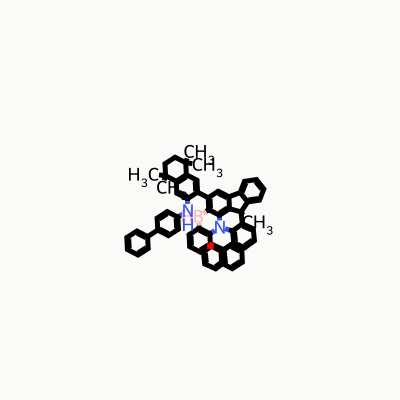 CC1(C)CCC(C)(C)c2cc(-c3cc4c5c6c3Bc3cccc(-c7ccccc7)c3N6c3c(-c6ccccc6)cccc3C5(C)c3ccccc3-4)c(Nc3ccc(-c4ccccc4)cc3)cc21